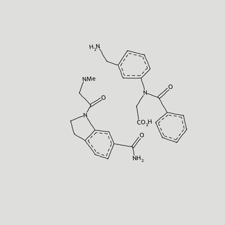 CNCC(=O)N1CCc2ccc(C(N)=O)cc21.NCc1cccc(N(CC(=O)O)C(=O)c2ccccc2)c1